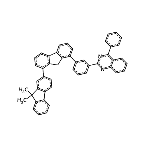 CC1(C)c2ccccc2-c2ccc(-c3cccc4c3Cc3c(-c5cccc(-c6nc(-c7ccccc7)c7ccccc7n6)c5)cccc3-4)cc21